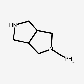 PN1CC2CNCC2C1